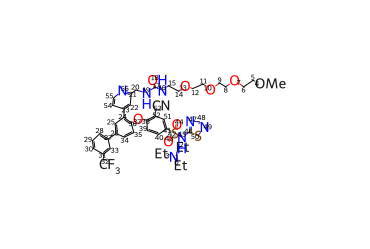 CCN(CC)CC.COCCOCCOCCOCCNC(=O)NCc1cc(-c2cc(-c3cccc(C(F)(F)F)c3)ccc2Oc2ccc(S(=O)(=O)Nc3ncns3)cc2C#N)ccn1